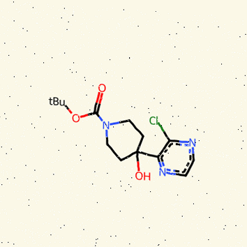 CC(C)(C)OC(=O)N1CCC(O)(c2nccnc2Cl)CC1